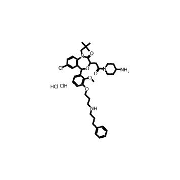 COc1c(OCCCNCCCc2ccccc2)cccc1C1OC(CC(=O)N2CCC(N)CC2)C(=O)N(CC(C)(C)C)c2ccc(Cl)cc21.Cl.Cl